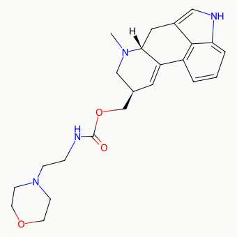 CN1C[C@H](COC(=O)NCCN2CCOCC2)C=C2c3cccc4[nH]cc(c34)C[C@H]21